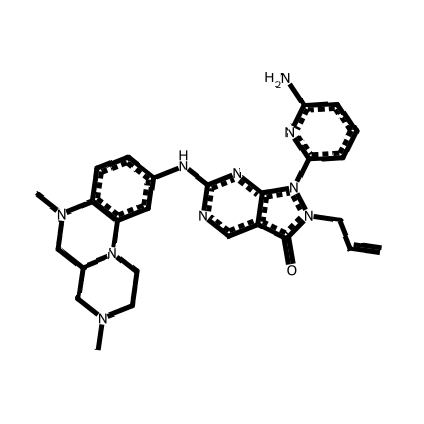 C=CCn1c(=O)c2cnc(Nc3ccc4c(c3)N3CCN(C)CC3CN4C)nc2n1-c1cccc(N)n1